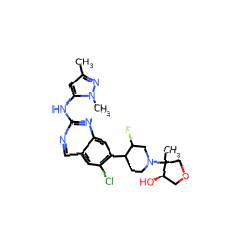 Cc1cc(Nc2ncc3cc(Cl)c(C4CCN(C5(C)COC[C@H]5O)CC4F)cc3n2)n(C)n1